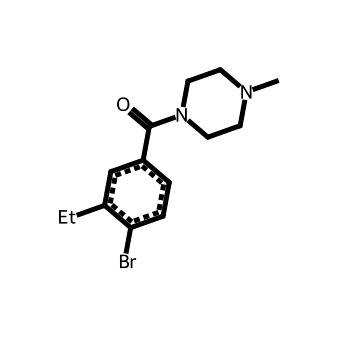 CCc1cc(C(=O)N2CCN(C)CC2)ccc1Br